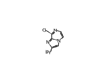 CC(C)c1cn2ccnc(Cl)c2n1